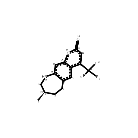 C[C@@H]1CCc2cc3c(C(F)(F)F)cc(=O)oc3cc2NC1